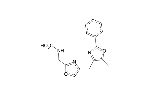 Cc1oc(-c2ccccc2)nc1Cc1coc(CNC(=O)O)n1